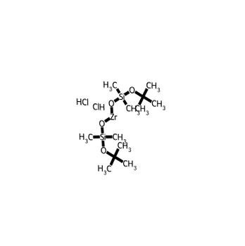 CC(C)(C)O[Si](C)(C)[O][Zr][O][Si](C)(C)OC(C)(C)C.Cl.Cl